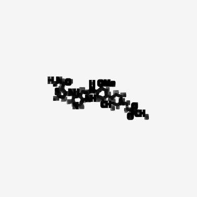 COc1cc(C2CCN(CCS(C)(=O)=O)CC2)c(C)cc1Nc1cc2c(Nc3ccsc3C(N)=O)cncc2[nH]1